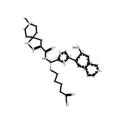 CCC(=O)CCCCC[C@H](NC(=O)C1=NOC2(CCN(C)CC2)C1)c1ncc(-c2cc3ccncc3cc2OC)o1